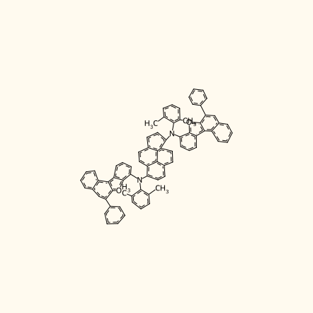 Cc1cccc(C)c1N(c1ccc2ccc3c(N(c4c(C)cccc4C)c4cccc5c4oc4c(-c6ccccc6)cc6ccccc6c45)ccc4ccc1c2c43)c1cccc2c1oc1c(-c3ccccc3)cc3ccccc3c12